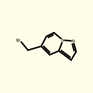 BrCc1ccn2nccc2c1